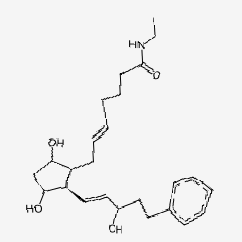 CCNC(=O)CCCC=CCC1C(O)CC(O)[C@@H]1C=CC(O)CCc1ccccc1